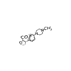 CN1CCN(c2ccc([C@H]3CCO[C@H]3C(=O)O)cc2)CC1